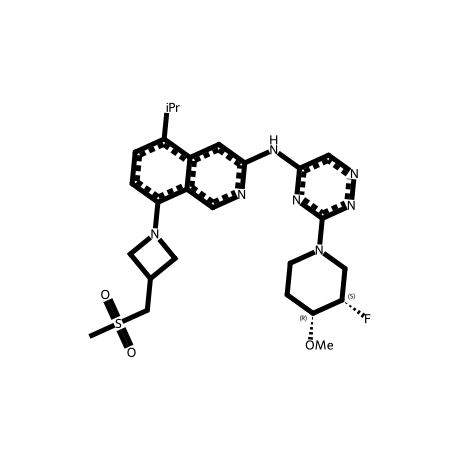 CO[C@@H]1CCN(c2nncc(Nc3cc4c(C(C)C)ccc(N5CC(CS(C)(=O)=O)C5)c4cn3)n2)C[C@@H]1F